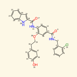 O=C(NCc1ccccc1Cl)c1ccc(NC(=O)c2cc3ccccc3[nH]2)c(OCCc2ccc(O)cc2)c1